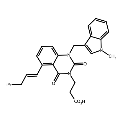 CC(C)CC=Cc1cccc2c1c(=O)n(CCC(=O)O)c(=O)n2Cc1cn(C)c2ccccc12